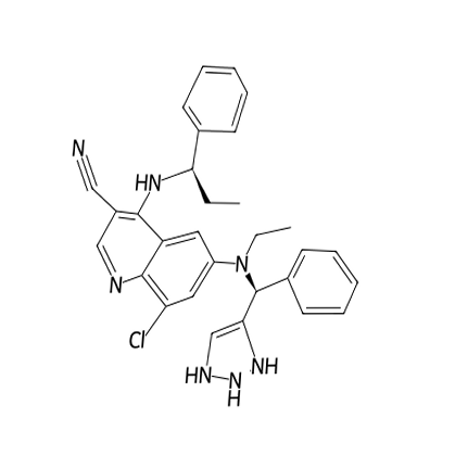 CC[C@@H](Nc1c(C#N)cnc2c(Cl)cc(N(CC)[C@H](C3=CNNN3)c3ccccc3)cc12)c1ccccc1